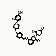 N#Cc1ccc(N2CCC(Sc3ccc(COc4cccc5c4CN([C@@H]4CCC(=O)NC4=O)C5=O)cc3)CC2)c(F)c1